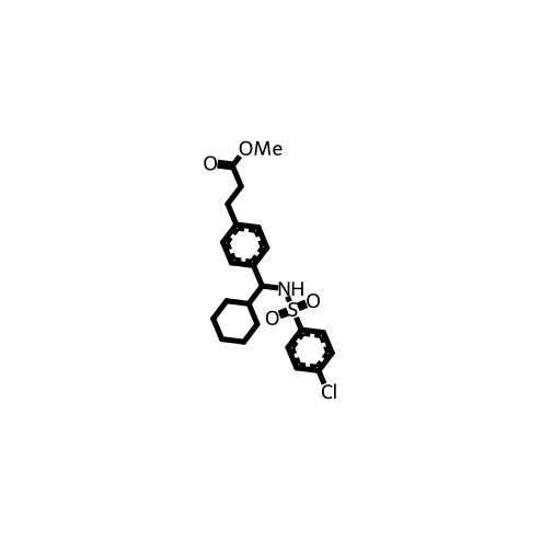 COC(=O)CCc1ccc(C(NS(=O)(=O)c2ccc(Cl)cc2)C2CCCCC2)cc1